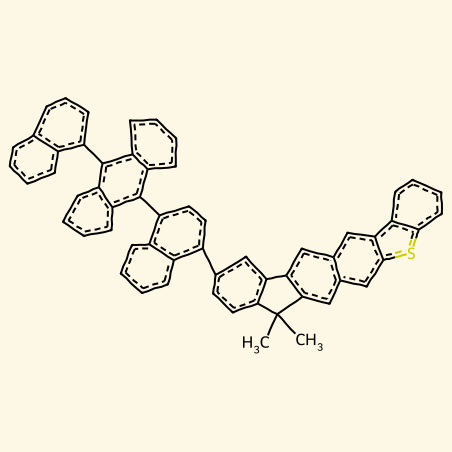 CC1(C)c2ccc(-c3ccc(-c4c5ccccc5c(-c5cccc6ccccc56)c5ccccc45)c4ccccc34)cc2-c2cc3cc4c(cc3cc21)sc1ccccc14